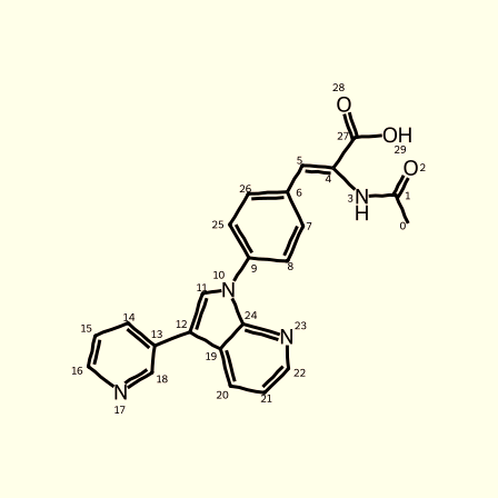 CC(=O)NC(=Cc1ccc(-n2cc(-c3cccnc3)c3cccnc32)cc1)C(=O)O